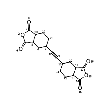 O=C1OC(=O)C2CC(C#CC3CCC4C(=O)OC(=O)C4C3)CCC12